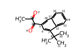 CC(=O)C(=O)c1cc(C(C)(C)C)c2ccccc2c1